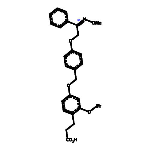 CO/N=C(\COc1ccc(COc2ccc(CCC(=O)O)c(OC(C)C)c2)cc1)c1ccccc1